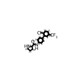 O=C(Nc1ccc(-c2cc(C(F)(F)F)ccc2Cl)cc1)C1CCCN1